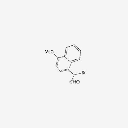 COc1ccc(C(Br)C=O)c2ccccc12